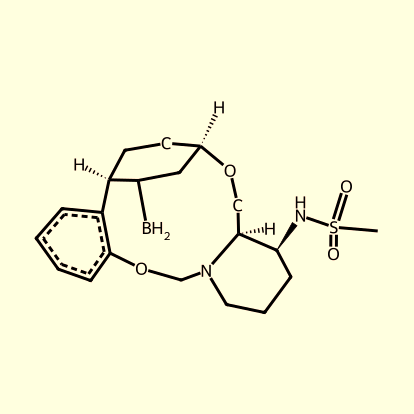 BC1C[C@H]2CC[C@@H]1c1ccccc1OCN1CCC[C@H](NS(C)(=O)=O)[C@@H]1CO2